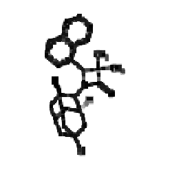 CC1(C)C(=O)N(C2[C@@H]3CC4C[C@H]2CC(Cl)(C4)C3)C1c1cccc2ccccc12